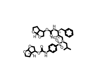 CC(C)CN(C[C@@H](O)[C@H](Cc1ccccc1)NC(=O)OC1CO[C@H]2OCCC12)S(=O)(=O)c1ccc(NC(=O)OC2COC3OCC[C@H]23)cc1